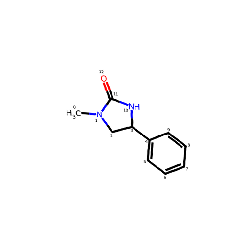 CN1CC(c2ccccc2)NC1=O